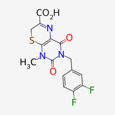 Cn1c2c(c(=O)n(Cc3ccc(F)c(F)c3)c1=O)N=C(C(=O)O)CS2